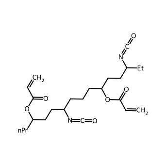 C=CC(=O)OC(CCC)CCC(CCCC(CCC(CC)N=C=O)OC(=O)C=C)N=C=O